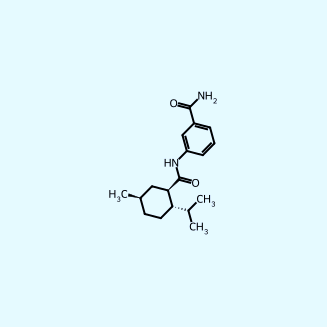 CC(C)[C@@H]1CC[C@@H](C)C[C@H]1C(=O)Nc1cccc(C(N)=O)c1